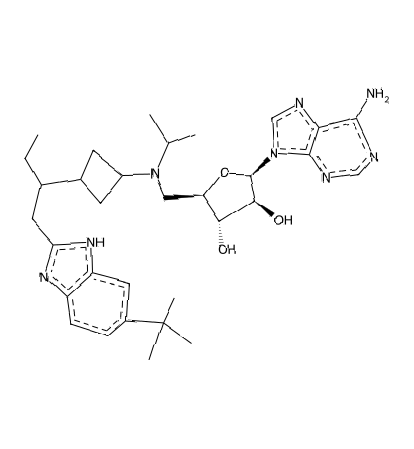 CCC(Cc1nc2ccc(C(C)(C)C)cc2[nH]1)C1CC(N(C[C@H]2O[C@@H](n3cnc4c(N)ncnc43)[C@@H](O)[C@@H]2O)C(C)C)C1